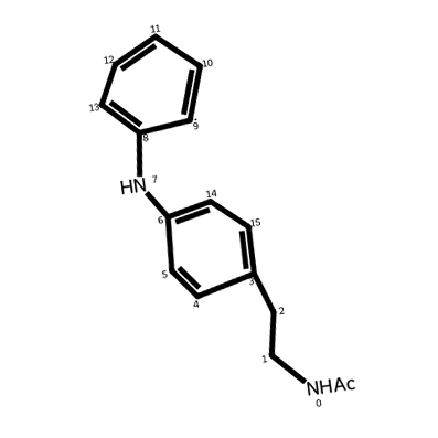 CC(=O)NCCc1ccc(Nc2[c]cccc2)cc1